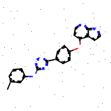 Cc1cccc(Nc2nnc(-c3ccc(Oc4ccnc5[nH]ccc45)cc3)[nH]2)c1